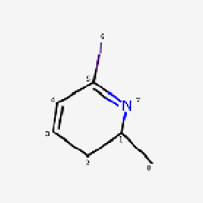 CC1CC=CC(I)=N1